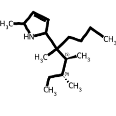 CCCCC(C)(C1C=CC(C)N1)[C@@H](C)[C@H](C)CC